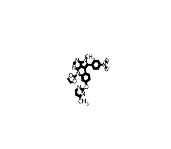 Cc1ccnc(Oc2ccc3c(c2)N(C2OCCO2)c2ncnc4c2c-3c(-c2ccc([N+](=O)[O-])cc2)n4C)n1